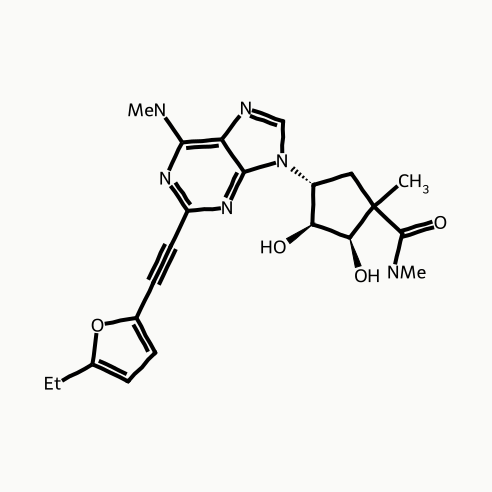 CCc1ccc(C#Cc2nc(NC)c3ncn([C@@H]4CC(C)(C(=O)NC)[C@@H](O)[C@H]4O)c3n2)o1